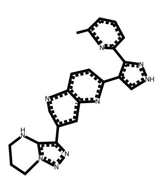 Cc1cccc(-c2n[nH]cc2-c2ccc3ncc(-c4nnn5c4NCCC5)cc3n2)n1